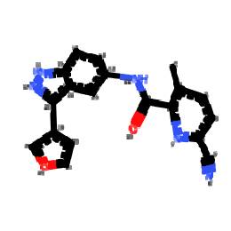 Cc1ccc(C#N)nc1C(=O)Nc1ccc2[nH]nc(-c3ccoc3)c2c1